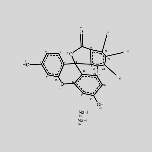 O=C1OC2(c3ccc(O)cc3Oc3cc(O)ccc32)c2c(I)c(I)c(I)c(I)c21.[NaH].[NaH]